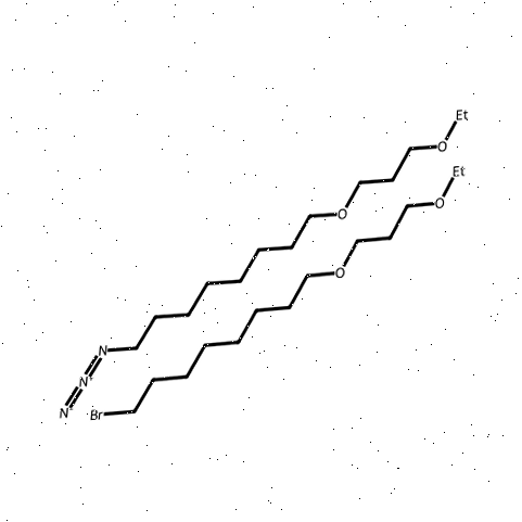 CCOCCCOCCCCCCCCBr.CCOCCCOCCCCCCCCN=[N+]=[N-]